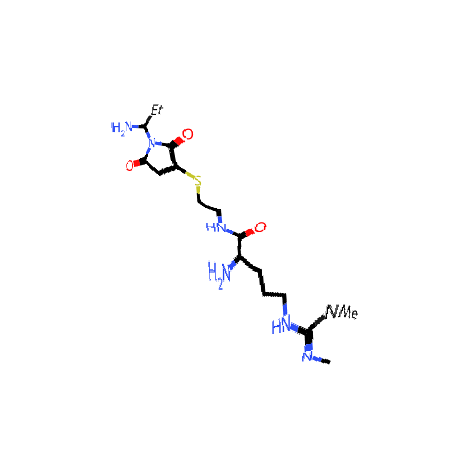 CCC(N)N1C(=O)CC(SCCNC(=O)C(N)CCCN/C(=N/C)NC)C1=O